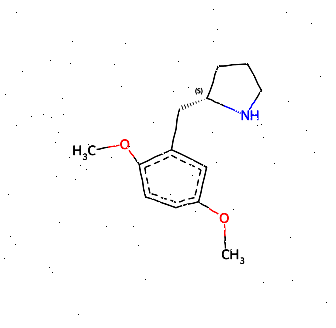 COc1ccc(OC)c(C[C@@H]2CCCN2)c1